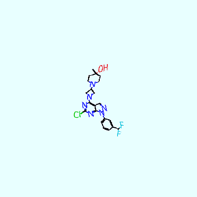 CC1(O)CCN(C2CN(c3nc(Cl)nc4c3cnn4-c3cccc(C(F)F)c3)C2)CC1